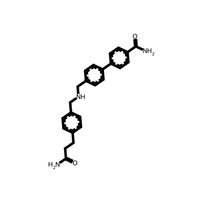 NC(=O)CCc1ccc(CNCc2ccc(-c3ccc(C(N)=O)cc3)cc2)cc1